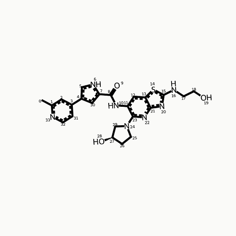 Cc1cc(-c2c[nH]c(C(=O)Nc3cc4sc(NCCO)nc4nc3N3CC[C@@H](O)C3)c2)ccn1